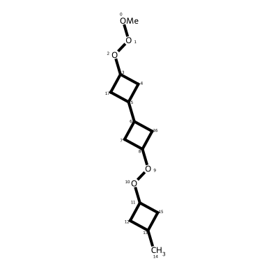 COOOC1CC(C2CC(OOC3CC(C)C3)C2)C1